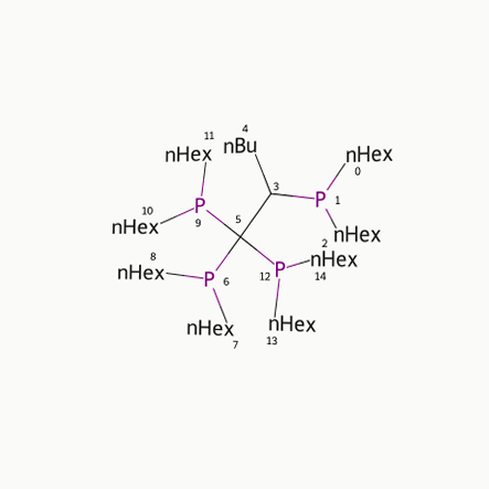 CCCCCCP(CCCCCC)C(CCCC)C(P(CCCCCC)CCCCCC)(P(CCCCCC)CCCCCC)P(CCCCCC)CCCCCC